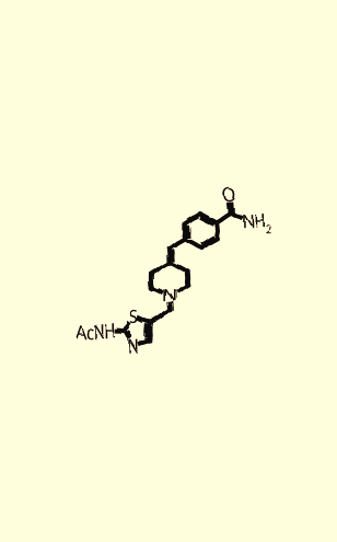 CC(=O)Nc1ncc(CN2CCC(=Cc3ccc(C(N)=O)cc3)CC2)s1